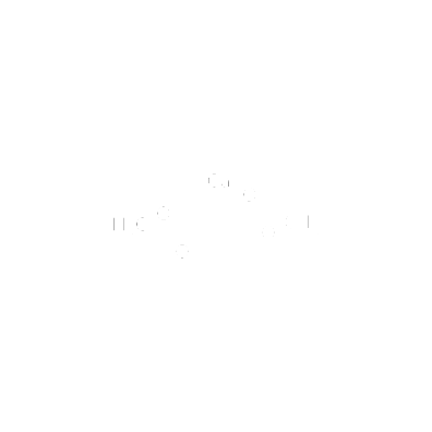 COC(=O)/C=C/C(=O)OC.[Ca]